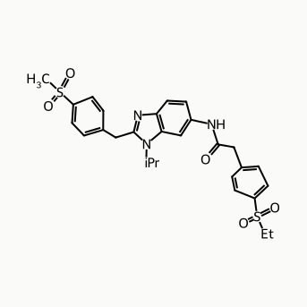 CCS(=O)(=O)c1ccc(CC(=O)Nc2ccc3nc(Cc4ccc(S(C)(=O)=O)cc4)n(C(C)C)c3c2)cc1